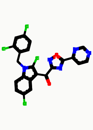 O=C(c1noc(-c2ccncn2)n1)c1c(Cl)n(Cc2ccc(Cl)cc2Cl)c2ccc(Cl)cc12